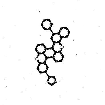 c1ccc(-c2cc3c(oc4cccc5c4c3c3cccc4oc6ccc(-c7cccs7)cc6c5c43)c3ccccc23)cc1